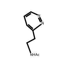 CC(=O)NCCc1cccnn1